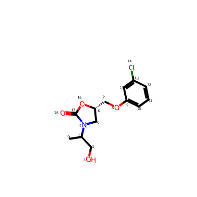 CC(CO)N1C[C@@H](COc2cccc(Cl)c2)OC1=O